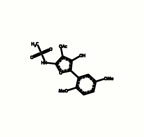 COc1ccc(OC)c(-c2oc(NS(C)(=O)=O)c(OC(C)=O)c2O)c1